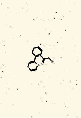 O=C(CBr)C1=C(C2=COC=CO2)CCC=C1